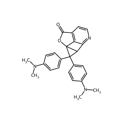 CN(C)c1ccc(C2(c3ccc(N(C)C)cc3)C3c4nccc5c4C32OC5=O)cc1